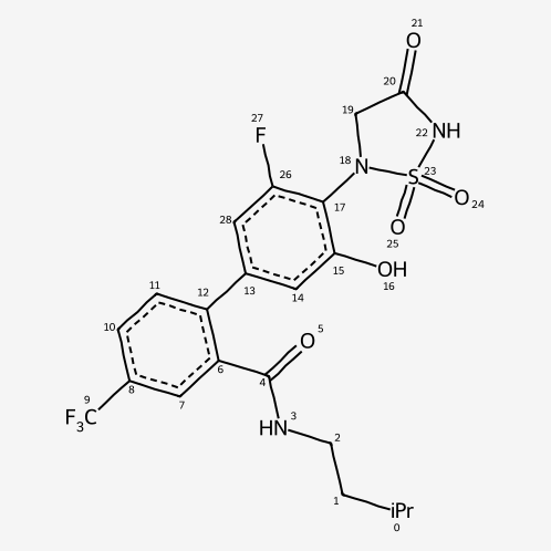 CC(C)CCNC(=O)c1cc(C(F)(F)F)ccc1-c1cc(O)c(N2CC(=O)NS2(=O)=O)c(F)c1